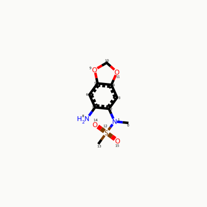 CN(c1cc2c(cc1N)OCO2)S(C)(=O)=O